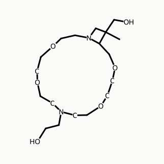 CC1(CO)CN2CCOCCOCCN(CCO)CCOCCOCC21